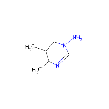 CC1CN(N)C=NC1C